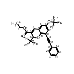 CCOC(=O)C1=Cc2cc(OC(F)(F)F)cc(C#Cc3ccccc3)c2OC1C(F)(F)F